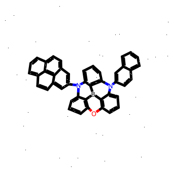 c1cc2c3c(c1)N(c1ccc4ccccc4c1)c1cccc4c1B3c1c(cccc1N4c1cc3ccc4cccc5ccc(c1)c3c45)O2